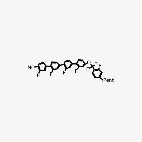 CCCCCc1ccc(C(F)(F)Oc2ccc(-c3ccc(-c4ccc(-c5ccc(C#N)c(F)c5)c(F)c4)c(F)c3)c(F)c2)c(F)c1